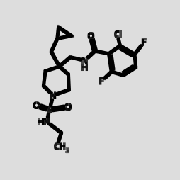 CCNS(=O)(=O)N1CCC(CNC(=O)c2c(F)ccc(F)c2Cl)(CC2CC2)CC1